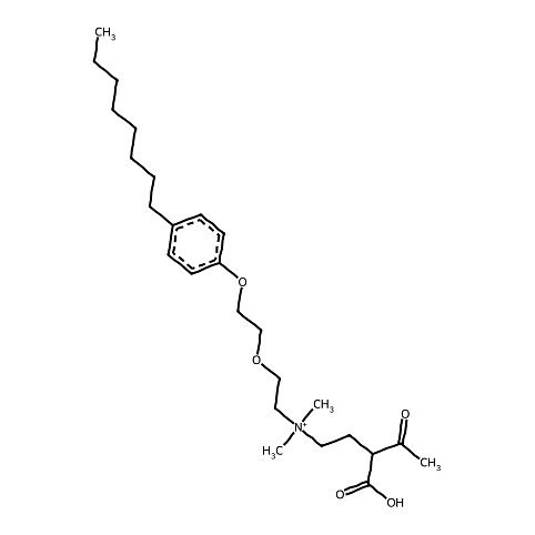 CCCCCCCCc1ccc(OCCOCC[N+](C)(C)CCC(C(C)=O)C(=O)O)cc1